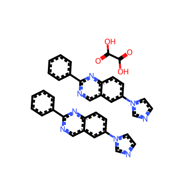 O=C(O)C(=O)O.c1ccc(-c2ncc3cc(-n4ccnc4)ccc3n2)cc1.c1ccc(-c2ncc3cc(-n4ccnc4)ccc3n2)cc1